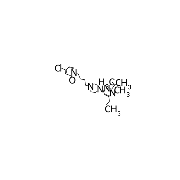 CCCc1cc(N2CCN(CCCCn3ccc(Cl)cc3=O)CC2)nc(C(C)(C)C)n1